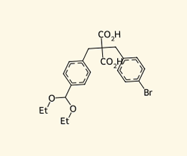 CCOC(OCC)c1ccc(CC(Cc2ccc(Br)cc2)(C(=O)O)C(=O)O)cc1